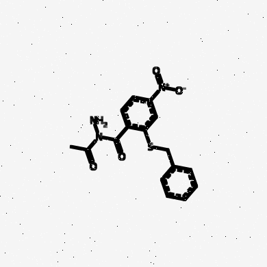 CC(=O)N(N)C(=O)c1ccc([N+](=O)[O-])cc1SCc1ccccc1